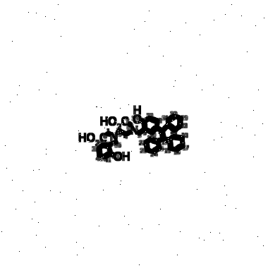 O=C(O)CN(CCN(CC(=O)O)Cc1cc(C(=C(c2ccccc2)c2ccccc2)c2ccccc2)ccc1O)Cc1ccccc1O